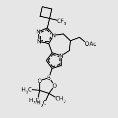 CC(=O)OCC1Cn2cc(B3OC(C)(C)C(C)(C)O3)cc2-c2nnc(C3(C(F)(F)F)CCC3)n2C1